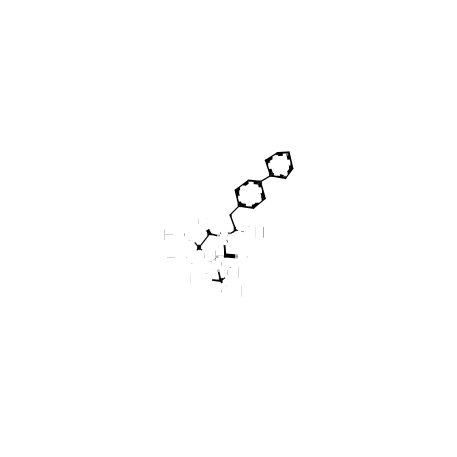 C[C@@H](Cc1ccc(-c2ccccc2)cc1)N(C(=O)OC(C)(C)C)C(=O)C(C)(C)C